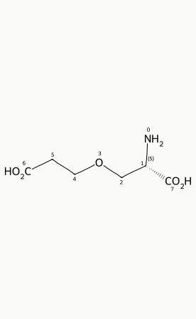 N[C@@H](COCCC(=O)O)C(=O)O